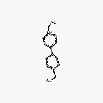 CC(=O)C[n+]1ccc(-c2cc[n+](CC(C)=O)cc2)cc1